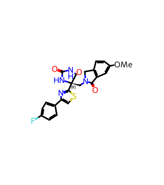 COc1ccc2c(c1)C(=O)N(C[C@@]1(c3nc(-c4ccc(F)cc4)cs3)NC(=O)NC1=O)C2